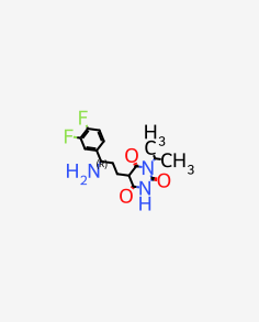 CC(C)N1C(=O)NC(=O)C(CC[C@@H](N)c2ccc(F)c(F)c2)C1=O